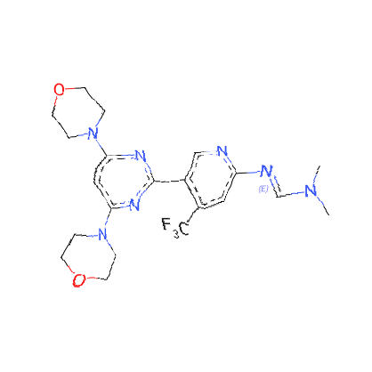 CN(C)/C=N/c1cc(C(F)(F)F)c(-c2nc(N3CCOCC3)cc(N3CCOCC3)n2)cn1